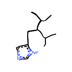 CC(C)C(Cc1cnc[nH]1)C(C)C